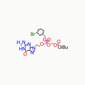 CC(C)COC(=O)OCOP(=O)(COCCn1cnc2c(=O)[nH]c(N)nc21)OCc1cccc(Br)c1